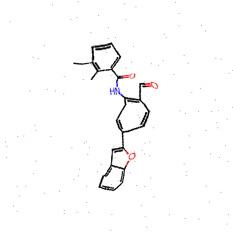 Cc1cccc(C(=O)Nc2cc(-c3cc4ccccc4o3)ccc2C=O)c1C